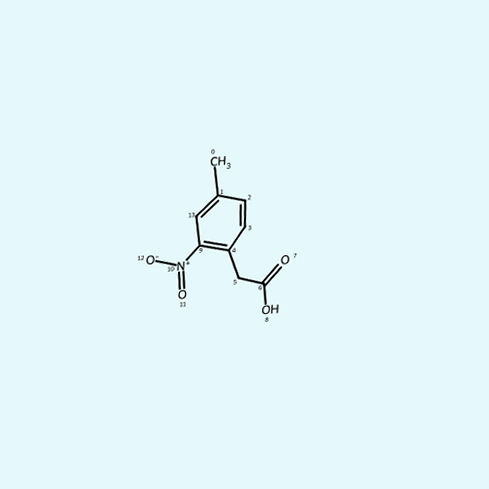 Cc1ccc(CC(=O)O)c([N+](=O)[O-])c1